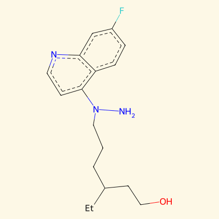 CCC(CCO)CCCN(N)c1ccnc2cc(F)ccc12